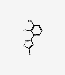 CC(=O)c1cc(-c2cccc(O)c2O)no1